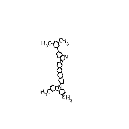 Cc1cc(C)cc(-c2ccc3c(c2)ncn3-c2ccc3cc4c(cc3c2)Cc2ccc(-n3c5ccc(C)cc5c5cc(C)ccc53)cc2C4)c1